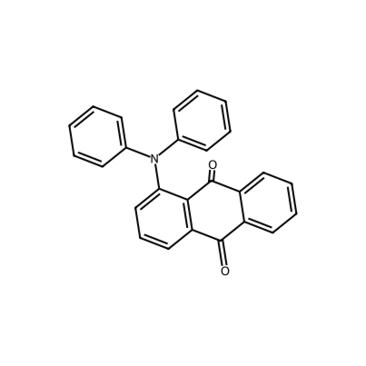 O=C1c2ccccc2C(=O)c2c1cccc2N(c1ccccc1)c1ccccc1